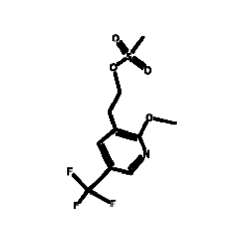 COc1ncc(C(F)(F)F)cc1CCOS(C)(=O)=O